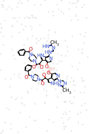 CC(=N)/N=C\Nc1ncc(OBOc2cnc(-n3cnc(C)n3)c3[nH]cc(C(=O)C(=O)N4CCN(C(=O)c5ccccc5)CC4)c23)c2c(C(=O)C(=O)N3CCN(C(=O)c4ccccc4)CC3)c[nH]c12